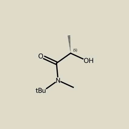 C[C@H](O)C(=O)N(C)C(C)(C)C